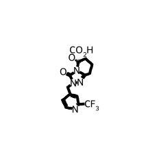 O=C(O)O[C@H]1CCCc2nn(Cc3ccnc(C(F)(F)F)c3)c(=O)n21